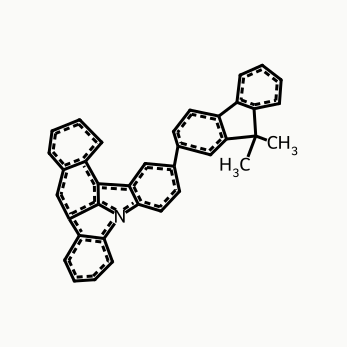 CC1(C)c2ccccc2-c2ccc(-c3ccc4c(c3)c3c5ccccc5cc5c6ccccc6n4c53)cc21